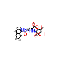 CC(C)CC(NC(CCNC(=O)c1cccc2ccccc12)C(=O)O)C(=O)O